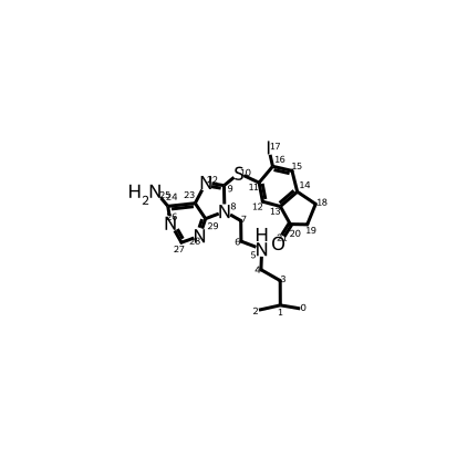 CC(C)CCNCCn1c(Sc2cc3c(cc2I)CCC3=O)nc2c(N)ncnc21